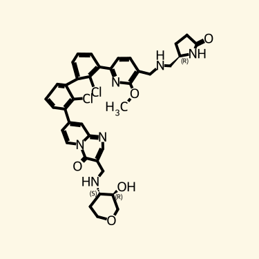 COc1nc(-c2cccc(-c3cccc(-c4ccn5c(=O)c(CN[C@H]6CCOC[C@@H]6O)cnc5c4)c3Cl)c2Cl)ccc1CNC[C@H]1CCC(=O)N1